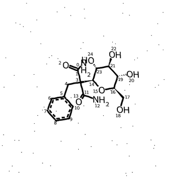 NC(=O)C(Cc1ccccc1)(C(N)=O)[C@@H]1O[C@H](CO)[C@@H](O)[C@H](O)[C@H]1O